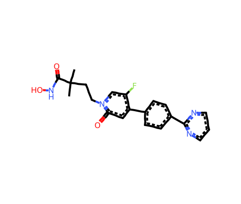 CC(C)(CCn1cc(F)c(-c2ccc(-c3ncccn3)cc2)cc1=O)C(=O)NO